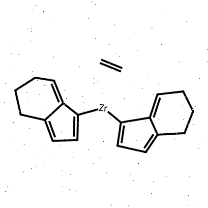 C1=C2CCCC=C2[C]([Zr][C]2=CC=C3CCCC=C32)=C1.C=C